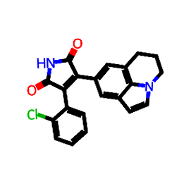 O=C1NC(=O)C(c2ccccc2Cl)=C1c1cc2c3c(ccn3CCC2)c1